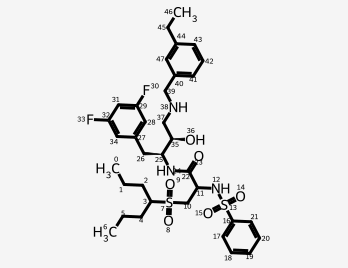 CCCC(CCC)S(=O)(=O)CC(NS(=O)(=O)c1ccccc1)C(=O)N[C@@H](Cc1cc(F)cc(F)c1)[C@H](O)CNCc1cccc(CC)c1